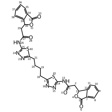 O=C(CC1OC(=O)c2ccccc21)Nc1nnc(CCCCc2nnc(NC(=O)CC3OC(=O)c4ccccc43)s2)s1